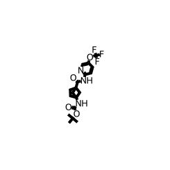 CC(C)(C)OC(=O)NC12CCC(C(=O)Nc3ccc(OC(F)(F)F)cn3)(C1)C2